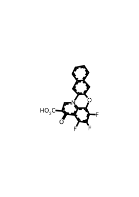 O=C(O)c1cn2c3c(c(F)c(F)c(F)c3c1=O)Oc1cc3ccccc3cc1-2